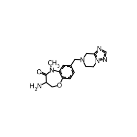 CN1C(=O)C(N)COc2ccc(CN3CCn4ncnc4C3)cc21